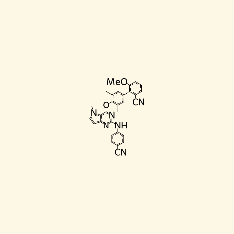 COc1cccc(C#N)c1-c1cc(C)c(Oc2nc(Nc3ccc(C#N)cc3)nc3ccn(C)c23)c(C)c1